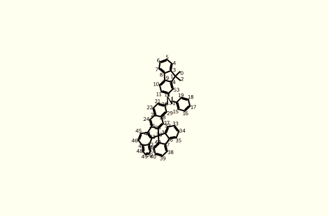 CC1(C)c2ccccc2-c2ccc(N(c3ccccc3)c3ccc4cc5c(cc4c3)C3(c4ccccc4-c4ccccc43)c3c-5ccc4ccccc34)cc21